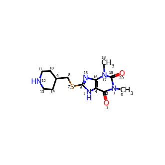 Cn1c(=O)c2[nH]c(SCC3CCNCC3)nc2n(C)c1=O